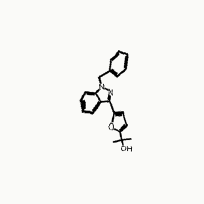 CC(C)(O)c1ccc(-c2nn(Cc3ccccc3)c3ccccc23)o1